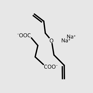 C=CCOCC=C.O=C([O-])CCC(=O)[O-].[Na+].[Na+]